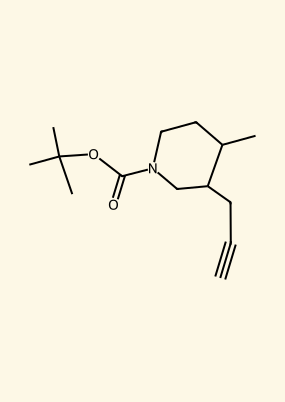 C#CCC1CN(C(=O)OC(C)(C)C)CCC1C